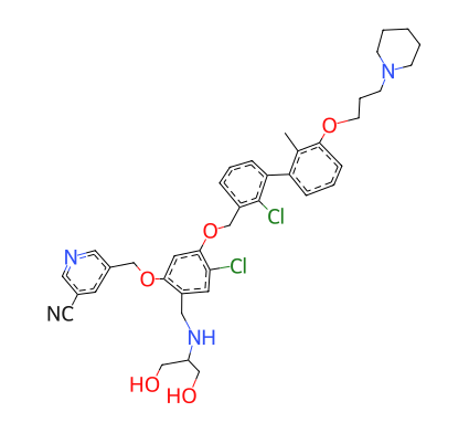 Cc1c(OCCCN2CCCCC2)cccc1-c1cccc(COc2cc(OCc3cncc(C#N)c3)c(CNC(CO)CO)cc2Cl)c1Cl